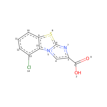 O=C(O)c1cn2c(n1)sc1cccc(Cl)c12